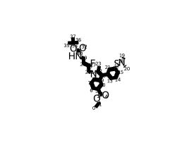 CCOC(=O)c1ccc2c(c1)c(-c1cccc(SN(C)C)c1)c(C)n2C/C(F)=C/CNC(=O)OC(C)(C)C